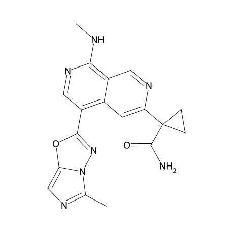 CNc1ncc(-c2nn3c(C)ncc3o2)c2cc(C3(C(N)=O)CC3)ncc12